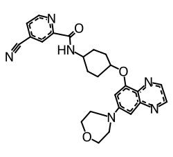 N#Cc1ccnc(C(=O)NC2CCC(Oc3cc(N4CCOCC4)cc4nccnc34)CC2)c1